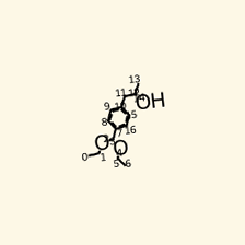 CCOC(OCC)c1ccc(CC(C)O)cc1